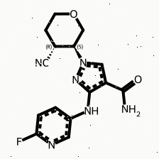 N#C[C@@H]1CCOC[C@H]1n1cc(C(N)=O)c(Nc2ccc(F)nc2)n1